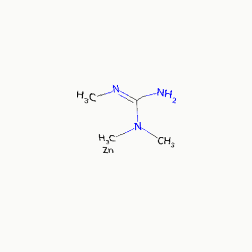 CN=C(N)N(C)C.[Zn]